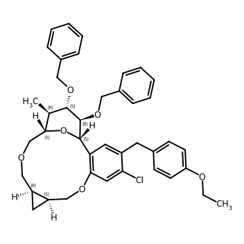 CCOc1ccc(Cc2cc3c(cc2Cl)OC[C@H]2C[C@H]2COC[C@H]2O[C@@H]3[C@H](OCc3ccccc3)[C@@H](OCc3ccccc3)[C@@H]2C)cc1